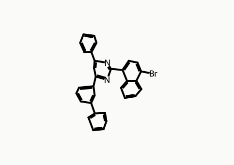 Brc1ccc(-c2nc(-c3ccccc3)cc(-c3cccc(-c4ccccc4)c3)n2)c2ccccc12